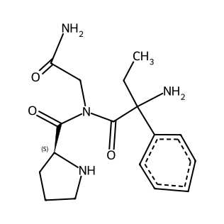 CCC(N)(C(=O)N(CC(N)=O)C(=O)[C@@H]1CCCN1)c1ccccc1